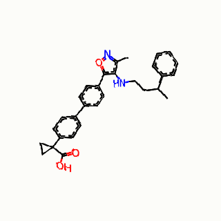 Cc1noc(-c2ccc(-c3ccc(C4(C(=O)O)CC4)cc3)cc2)c1NCCC(C)c1ccccc1